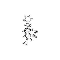 C=C1C(C2CC2)=NC(=O)C(NS(=O)(=O)CC2CCCCC2)=C1C(=O)O